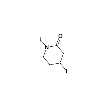 O=C1CC(I)CCN1I